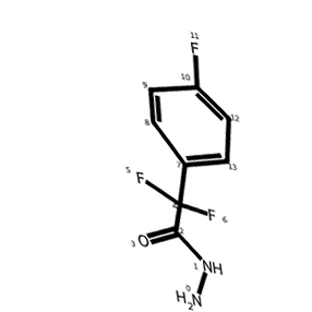 NNC(=O)C(F)(F)c1ccc(F)cc1